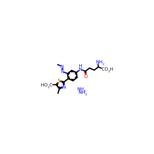 CN=Nc1cc(NC(=O)CCC(N)C(=O)O)ccc1-c1nc(C)c(C(=O)O)s1.N.N